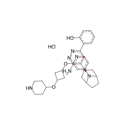 Cl.Nc1nnc(-c2ccccc2O)cc1N1CC2CCC(C1)N2c1ccnc(OC2CC(OC3CCNCC3)C2)c1